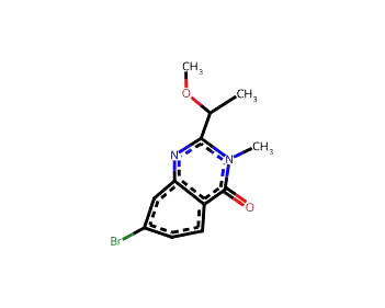 COC(C)c1nc2cc(Br)ccc2c(=O)n1C